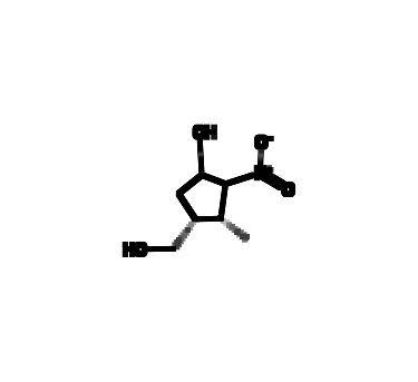 C[C@H]1C([N+](=O)[O-])C(O)C[C@H]1CO